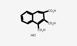 Cl.O=C(O)c1cc2ccccc2c(C(=O)O)c1C(=O)O